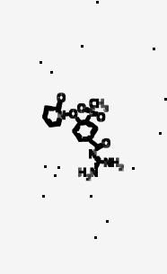 CS(=O)(=O)c1cc(C(=O)N=C(N)N)ccc1On1ccccc1=O